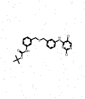 CC(C)(C)OC(=O)Nc1cccc(CSCc2cccc(Nc3nc(Cl)ncc3Cl)c2)c1